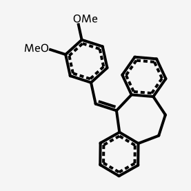 COc1ccc(C=C2c3ccccc3CCc3ccccc32)cc1OC